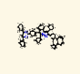 C1=CC2c3ccccc3-c3cc(-c4nn5c(-c6ccccc6)c(-c6ccc(-c7nc(C8=CCCC=C8)cc(-c8ccccc8)n7)cc6)c6ccccc6c5c4-c4ccccc4)ccc3C2C=C1